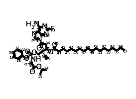 C#C[C@]1(CO[P@@](=O)(N[C@@H](C)C(=O)OC(C)C)Oc2ccccc2)O[C@@H](n2cnc3c(N)nc(F)nc32)C[C@@H]1OC(=O)CCCCCCCCCCCCCCCCC